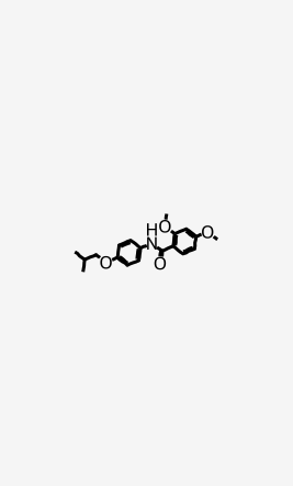 COc1ccc(C(=O)Nc2ccc(OCC(C)C)cc2)c(OC)c1